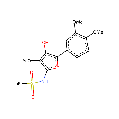 CCCS(=O)(=O)Nc1oc(-c2ccc(OC)c(OC)c2)c(O)c1OC(C)=O